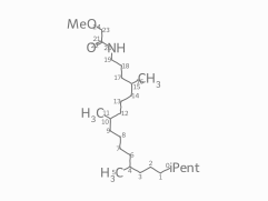 CCCC(C)CCCC(C)CCCCC(C)CCCC(C)CCCNC(=O)COC